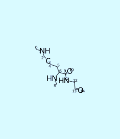 CNCCCCC(NC)C(=O)NCC=O